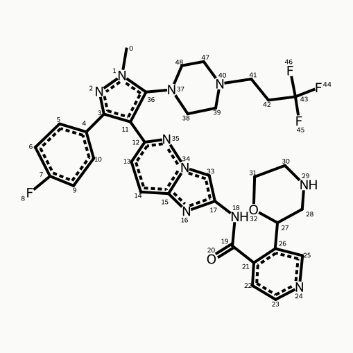 Cn1nc(-c2ccc(F)cc2)c(-c2ccc3nc(NC(=O)c4ccncc4C4CNCCO4)cn3n2)c1N1CCN(CCC(F)(F)F)CC1